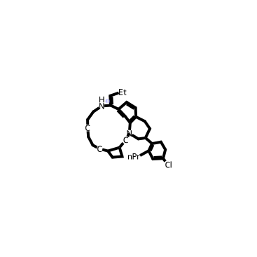 CC/C=C1/NCCCCCCC2CCC2CN2CC(C3=C(CCC)C=C(Cl)CC3)CCc3ccc1cc32